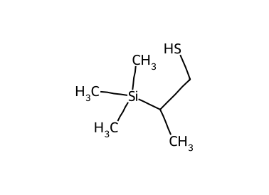 CC(CS)[Si](C)(C)C